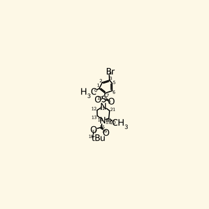 Cc1cc(Br)ccc1S(=O)(=O)N1CCN(C(=O)OC(C)(C)C)[C@H](C)C1